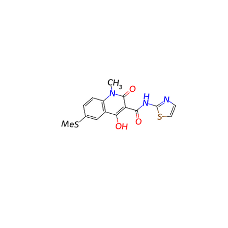 CSc1ccc2c(c1)c(O)c(C(=O)Nc1nccs1)c(=O)n2C